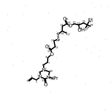 C=CCN1CN(CCCOC(=O)CCSSC(I)CC(=O)OCC(O)CC(C)(C)CC)CN(C(C)C)C1=O